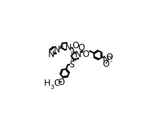 COc1ccc(CS[C@H]2C[C@@H](C(=O)N3CC[C@H](n4ccnc4)C3)N(C(=O)OCc3ccc([N+](=O)[O-])cc3)C2)cc1